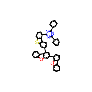 c1ccc(-c2nc(-c3ccccc3)nc(-c3cccc4sc5cc(-c6cc(-c7cccc8c7oc7ccccc78)cc7oc8ccccc8c67)ccc5c34)n2)cc1